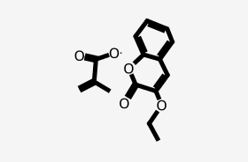 C=C(C)C([O])=O.CCOc1cc2ccccc2oc1=O